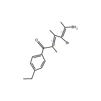 B/C(C)=C(Br)/C(C)=C(\C)C(=O)c1ccc(CC)cc1